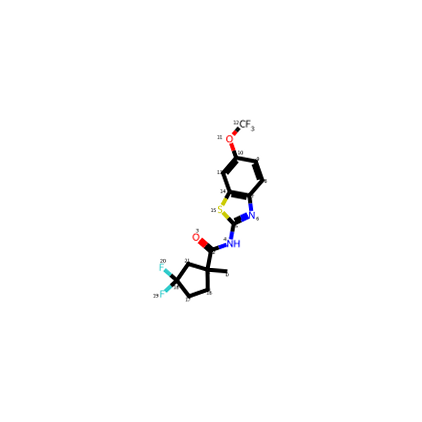 CC1(C(=O)Nc2nc3ccc(OC(F)(F)F)cc3s2)CCC(F)(F)C1